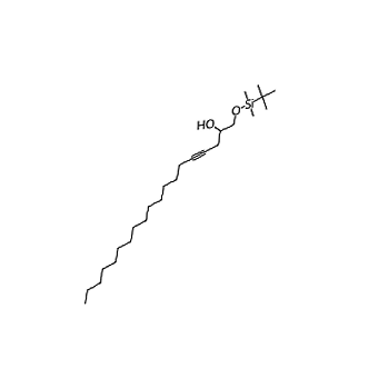 CCCCCCCCCCCCCCC#CCC(O)CO[Si](C)(C)C(C)(C)C